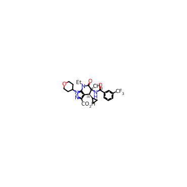 CCN1C(=O)[C@@](C)(NC(=O)c2cccc(C(F)(F)F)c2)[C@@H](C2CC2)c2c(C(=O)O)nn(C3CCOCC3)c21